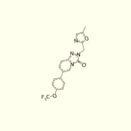 Cc1cnc(Cn2nc3ccc(-c4ccc(OC(F)(F)F)cc4)cn3c2=O)o1